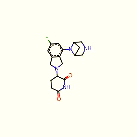 O=C1CCC(N2Cc3cc(F)cc(N4C5CNCC4C5)c3C2)C(=O)N1